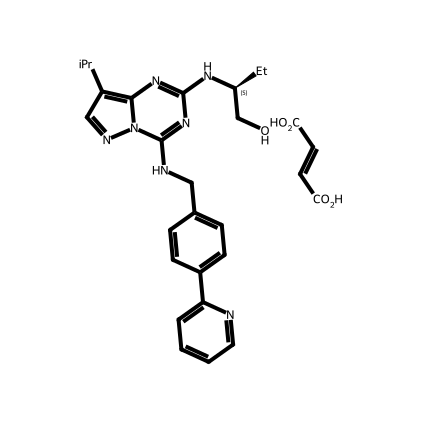 CC[C@@H](CO)Nc1nc(NCc2ccc(-c3ccccn3)cc2)n2ncc(C(C)C)c2n1.O=C(O)C=CC(=O)O